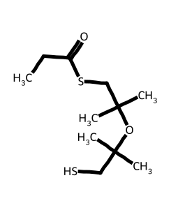 CCC(=O)SCC(C)(C)OC(C)(C)CS